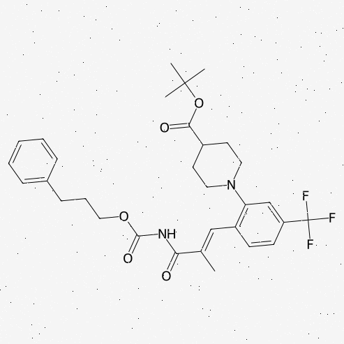 C/C(=C\c1ccc(C(F)(F)F)cc1N1CCC(C(=O)OC(C)(C)C)CC1)C(=O)NC(=O)OCCCc1ccccc1